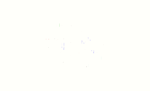 [CH2]C(=O)[C@]1(Oc2cc(-n3nc(C)n(C(F)F)c3=O)c(F)cc2Cl)CCCN1